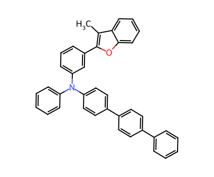 Cc1c(-c2cccc(N(c3ccccc3)c3ccc(-c4ccc(-c5ccccc5)cc4)cc3)c2)oc2ccccc12